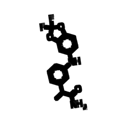 CC(C(N)=O)c1cccc(Nc2ccc3c(c2)OC(F)(F)O3)c1